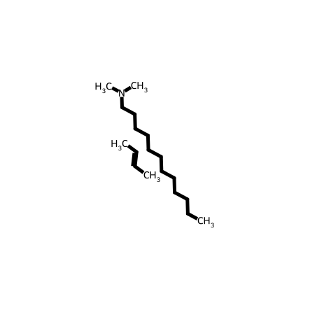 CC=CC.CCCCCCCCCCCCN(C)C